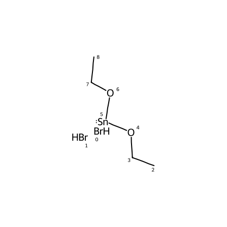 Br.Br.CC[O][Sn][O]CC